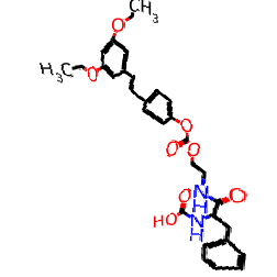 CCOc1cc(C=Cc2ccc(OC(=O)OCCNC(=O)C(Cc3ccccc3)NC(=O)O)cc2)cc(OCC)c1